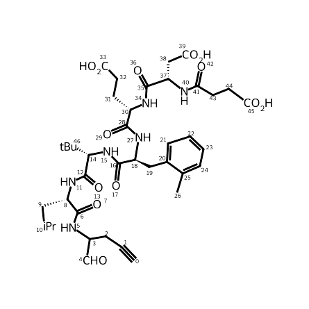 C#CCC(C=O)NC(=O)[C@H](CC(C)C)NC(=O)[C@@H](NC(=O)[C@H](Cc1ccccc1C)NC(=O)[C@H](CCC(=O)O)NC(=O)[C@H](CC(=O)O)NC(=O)CCC(=O)O)C(C)(C)C